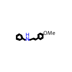 COc1ccc(C=CCNCc2ccccc2)cc1